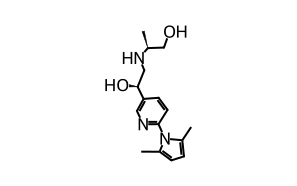 Cc1ccc(C)n1-c1ccc([C@@H](O)CN[C@@H](C)CO)cn1